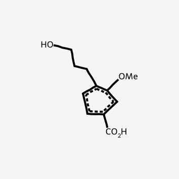 COc1cc(C(=O)O)ccc1CCCO